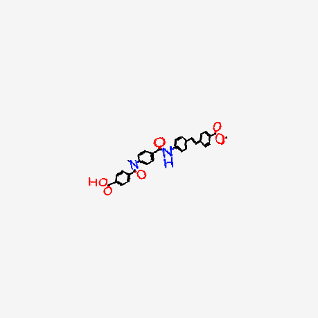 COC(=O)c1ccc(C=Cc2ccc(NC(=O)c3ccc(N(C)C(=O)c4ccc(C(=O)O)cc4)cc3)cc2)cc1